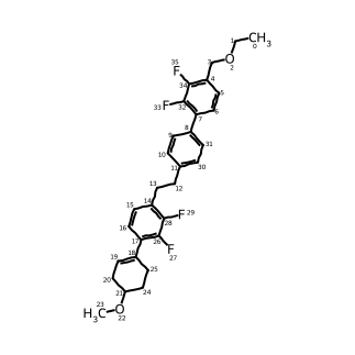 CCOCc1ccc(-c2ccc(CCc3ccc(C4=CCC(OC)CC4)c(F)c3F)cc2)c(F)c1F